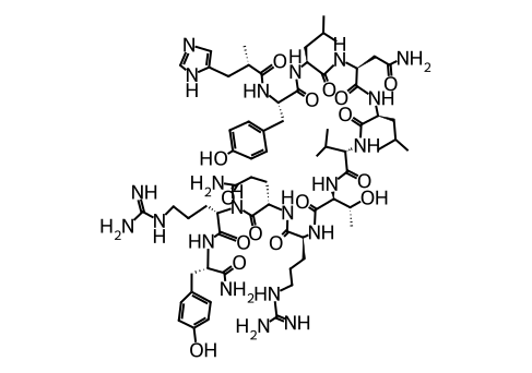 CC(C)C[C@H](NC(=O)[C@H](Cc1ccc(O)cc1)NC(=O)[C@@H](C)Cc1cnc[nH]1)C(=O)N[C@@H](CC(N)=O)C(=O)N[C@@H](CC(C)C)C(=O)N[C@H](C(=O)N[C@H](C(=O)N[C@@H](CCCNC(=N)N)C(=O)N[C@@H](CCC(N)=O)C(=O)N[C@@H](CCCNC(=N)N)C(=O)N[C@@H](Cc1ccc(O)cc1)C(N)=O)[C@@H](C)O)C(C)C